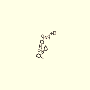 O=C(NCCCN1CCCC1)c1ccc(/N=C2/C(=O)N(Cc3ccccc3F)c3ccccc32)cc1